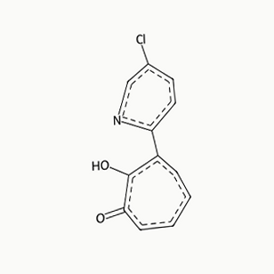 O=c1ccccc(-c2ccc(Cl)cn2)c1O